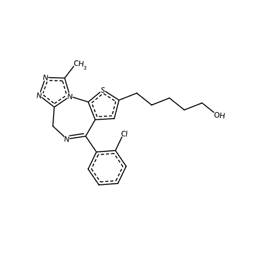 Cc1nnc2n1-c1sc(CCCCCO)cc1C(c1ccccc1Cl)=NC2